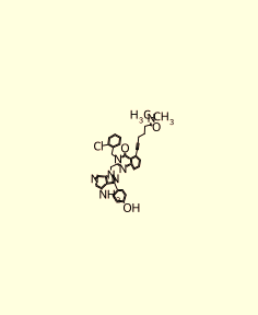 CN(C)C(=O)CCCC#Cc1cccc2nc(Cn3nc(-c4ccc(O)cc4)c4c(N)cncc43)n(Cc3ccccc3Cl)c(=O)c12